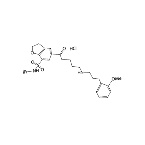 COc1ccccc1CCCNCCCCC(=O)c1cc2c(c(S(=O)(=O)NC(C)C)c1)OCC2.Cl